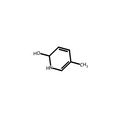 CC1=CNC(O)C=C1